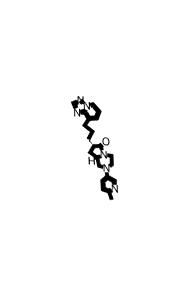 Cc1ccc(N2CCN3C(=O)[C@@H](CCCc4cccn5ncnc45)C[C@H]3C2)cn1